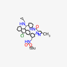 Cc1cc(C(=O)Nc2cccc(C(NCC3CC3)c3c4ccccc4c(Cl)c4ccccc34)c2)n(-c2cccc(CNC(=O)OC(C)(C)C)c2)n1